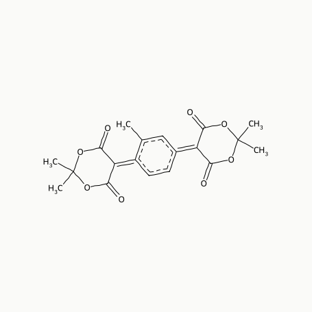 Cc1cc(=C2C(=O)OC(C)(C)OC2=O)ccc1=C1C(=O)OC(C)(C)OC1=O